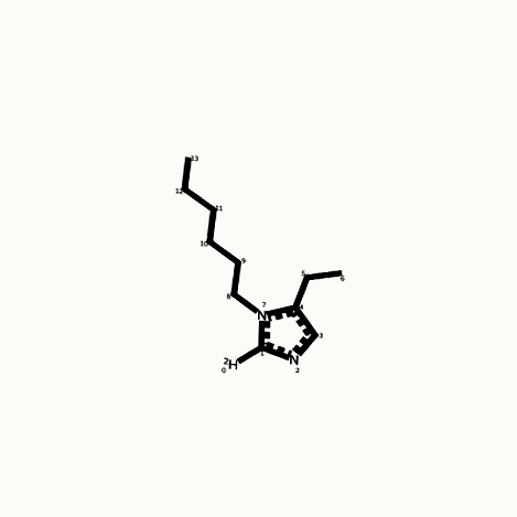 [2H]c1ncc(CC)n1CCCCCC